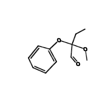 CCC(C=O)(OC)Oc1ccccc1